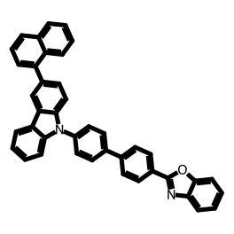 c1ccc2c(-c3ccc4c(c3)c3ccccc3n4-c3ccc(-c4ccc(-c5nc6ccccc6o5)cc4)cc3)cccc2c1